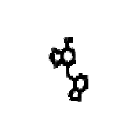 Oc1cnc(Cc2cncc3sccc23)c2ncoc12